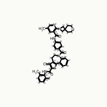 Cc1cnc(N2CC3(CCOCC3)C2)c(C(=O)Nc2ccc(C(=O)N3CCc4c(sc(C(=O)Nc5c(C)cccc5F)c4Cl)-c4ccccc43)cc2)c1